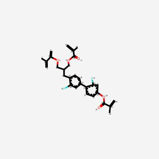 C=C(C)C(=C)OCC(COC(=O)C(=C)C)Cc1ccc(-c2ccc(OC(=O)C(=C)C)cc2F)cc1F